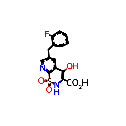 O=C(O)C1=C(O)c2cc(Cc3ccccc3F)cnc2S(=O)(=O)N1